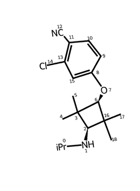 CC(C)N[C@H]1C(C)(C)[C@@H](Oc2ccc(C#N)c(Cl)c2)C1(C)C